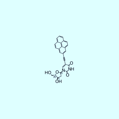 O=c1[nH]c(=O)n([C@H]2C[C@@H](O)[C@@H](CO)O2)cc1C#Cc1cc2ccc3cccc4ccc(c1)c2c34